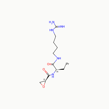 CC(C)C[C@@H](NC(=O)[C@@H]1CO1)C(=O)NCCCCNC(=N)N